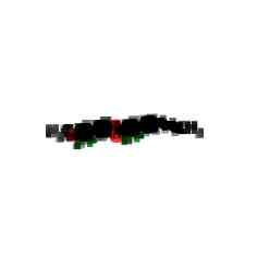 CCCCCc1ccc(-c2ccc(C(=O)Oc3ccc(-c4ccc(OC)c(F)c4F)cc3)c(F)c2F)cc1